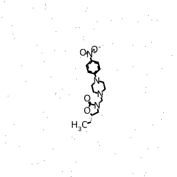 CC[C@H]1CN(CN2CCN(c3ccc([N+](=O)[O-])cc3)CC2)C(=O)O1